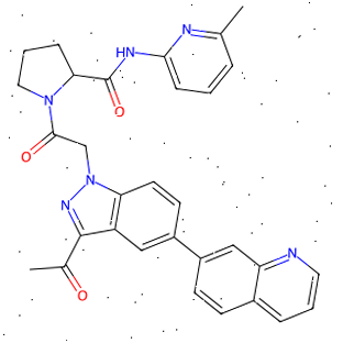 CC(=O)c1nn(CC(=O)N2CCCC2C(=O)Nc2cccc(C)n2)c2ccc(-c3ccc4cccnc4c3)cc12